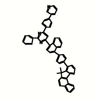 CC1(C)c2ccc3ccccc3c2-c2cccc(-c3ccc(-c4ccc(-c5cc(-c6ccc(-c7cccnc7)cc6)nc(-c6ccccc6)n5)c5ccccc45)cc3)c21